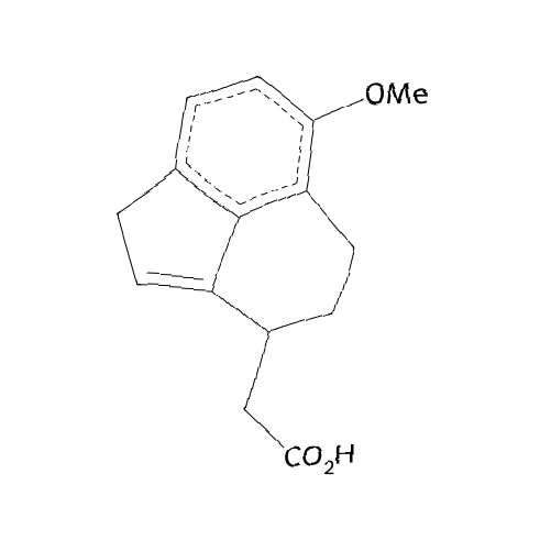 COc1ccc2c3c1CCC(CC(=O)O)C3=CC2